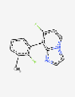 Cc1cccc(-c2c(F)ccn3ccnc23)c1F